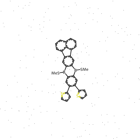 CSB1c2cc(-c3cccs3)c(-c3cccs3)cc2B(SC)c2cc3c(cc21)-c1cccc2cccc-3c12